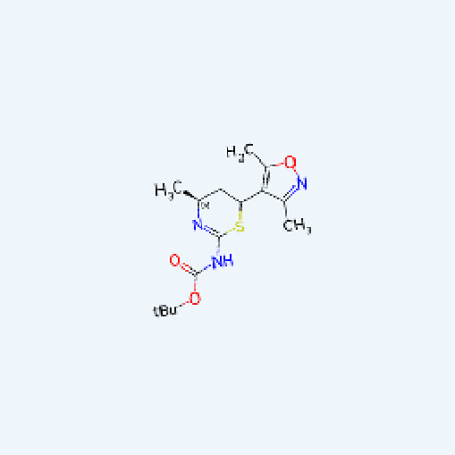 Cc1noc(C)c1C1C[C@H](C)N=C(NC(=O)OC(C)(C)C)S1